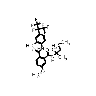 COc1ccc(C(=O)Nc2ccc(C(F)(C(F)(F)F)C(F)(F)F)cc2C)c(C(=O)NC(C)(C)CSC)c1